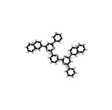 c1ccc(-c2cc(-c3ccc4ccccc4c3)nc(-c3cccc(-c4nc(-c5ccccc5)cc(-c5ccc6ccccc6c5)n4)n3)n2)cc1